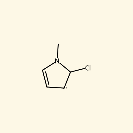 CN1C=C[C]C1Cl